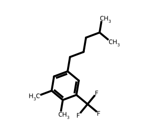 Cc1cc(CCCC(C)C)cc(C(F)(F)F)c1C